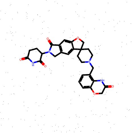 O=C1CCC(N2Cc3cc4c(cc3C2=O)OCC42CCN(Cc3cccc4c3NC(=O)CO4)CC2)C(=O)N1